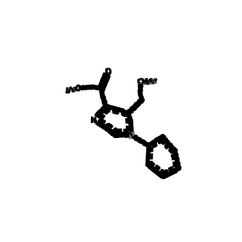 COCc1c(C(=O)OC)ncn1-c1ccccc1